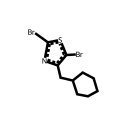 Brc1nc(CC2CCCCC2)c(Br)s1